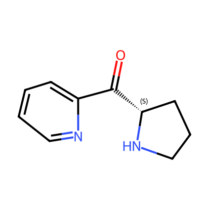 O=C(c1ccccn1)[C@@H]1CCCN1